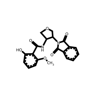 COc1cccc(O)c1C(=O)NC1COCC1N1C(=O)c2ccccc2C1=O